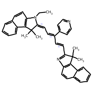 CCN1/C(=C/C=C(/C=C/C2=Nc3ccc4ccccc4c3C2(C)C)c2ccncc2)C(C)(C)c2c1ccc1ccccc21